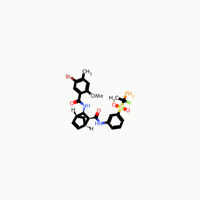 COc1cc(C)c(Br)cc1C(=O)N[C@H]1[C@@H](C(=O)Nc2cccc(S(=O)(=O)C(C)(F)P)c2)[C@H]2C=C[C@H]1C2